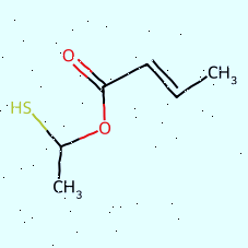 CC=CC(=O)OC(C)S